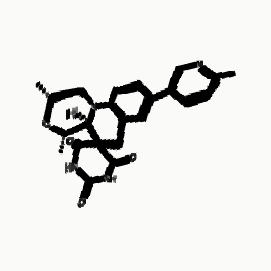 Cc1ccc(-c2ccc3c(c2)CC2(C(=O)NC(=O)NC2=O)[C@H]2[C@H](C)O[C@H](C)CN32)cn1